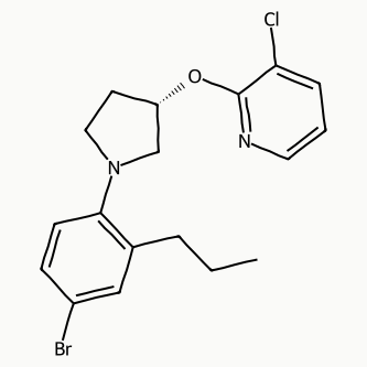 CCCc1cc(Br)ccc1N1CC[C@H](Oc2ncccc2Cl)C1